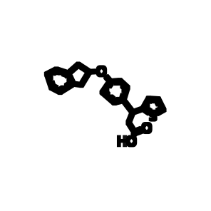 O=C(O)CC(c1ccc(OC2Cc3ccccc3C2)cc1)c1cccs1